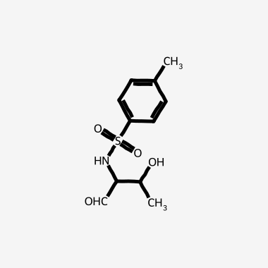 Cc1ccc(S(=O)(=O)NC(C=O)C(C)O)cc1